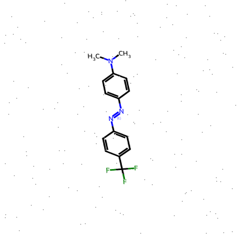 CN(C)c1ccc(/N=N/c2ccc(C(F)(F)F)cc2)cc1